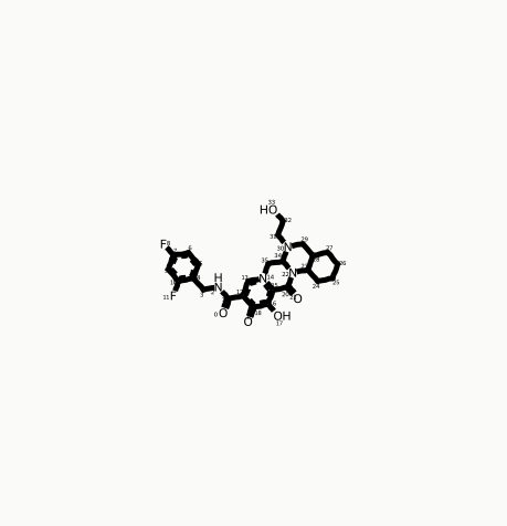 O=C(NCc1ccc(F)cc1F)c1cn2c(c(O)c1=O)C(=O)N1C3CCCCC3CN(CCO)C1C2